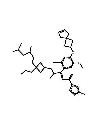 C=C(/C=C(\c1cc(OC)c(OC2CC3(CC=CC3)C2)cc1C)C(C)CC1CC(CCC)(CCC(C)CC(C)C)C1)c1ccc(C)o1